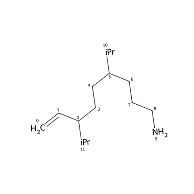 C=CC(CCC(CCCN)C(C)C)C(C)C